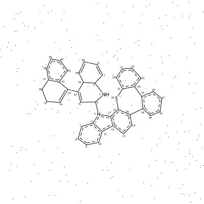 C1=CC2NC(n3c4ccccc4c4ccc5c(c43)Sc3ccccc3-c3ccccc3-5)C=C(C3=CCCc4ccccc43)C2C=C1